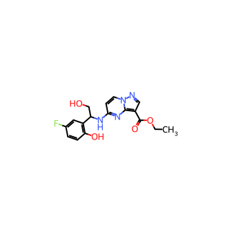 CCOC(=O)c1cnn2ccc(NC(CO)c3cc(F)ccc3O)nc12